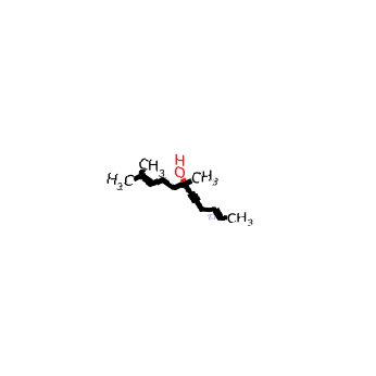 C/C=C/CC#CC(C)(O)CCC=C(C)C